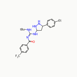 CCc1ccc(C2CC(N/C(=N\C(=O)c3ccc(C(F)(F)F)cc3)NC(C)(C)C)NN2)cc1